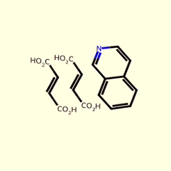 O=C(O)C=CC(=O)O.O=C(O)C=CC(=O)O.c1ccc2cnccc2c1